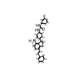 Cc1cccc(NC(=O)Nc2ccc(-c3csc4c(/C=C/c5ccccc5)cnc(N)c34)cc2)c1